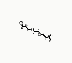 CC(C)CCOCCOCCC=O